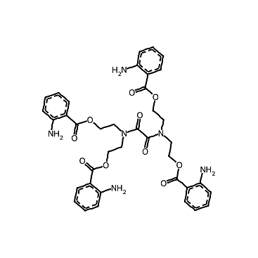 Nc1ccccc1C(=O)OCCN(CCOC(=O)c1ccccc1N)C(=O)C(=O)N(CCOC(=O)c1ccccc1N)CCOC(=O)c1ccccc1N